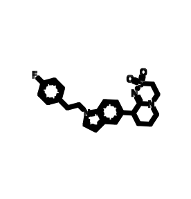 O=S1(=O)CCN2CCCC(c3ccc4c(ccn4CCc4ccc(F)cc4)c3)C2=N1